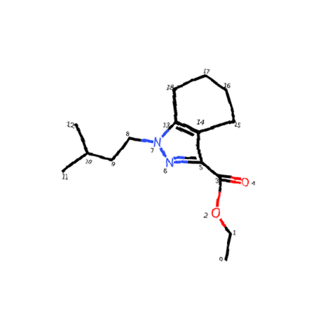 CCOC(=O)c1nn(CCC(C)C)c2c1CCCC2